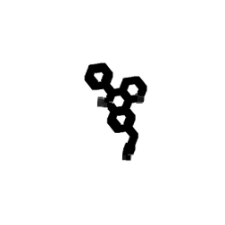 N#CCc1ccc2c(c1)C1OCCCC1C(c1ccccc1)N2